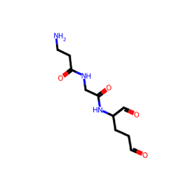 NCCC(=O)NCC(=O)NC(C=O)CCC=O